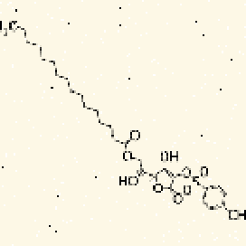 CCCCCCCCCCCCCCCC(=O)OC[C@H](O)[C@H]1OC(=O)C(OS(=O)(=O)c2ccc(C)cc2)=C1O